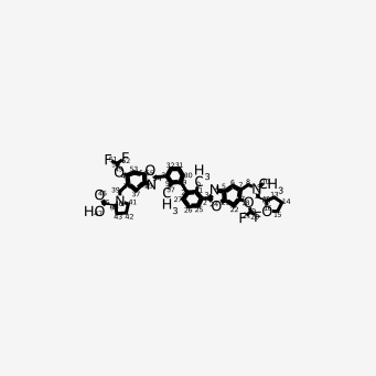 Cc1c(-c2nc3cc(CN(C)C[C@H]4CCCO4)c(OC(F)F)cc3o2)cccc1-c1cccc(-c2nc3cc(CN4CCC[C@H]4C(=O)O)c(OC(F)F)cc3o2)c1C